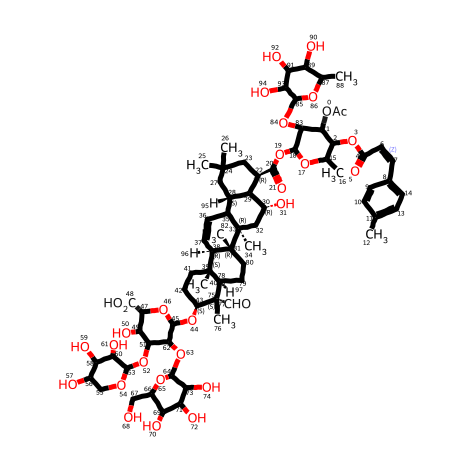 CC(=O)OC1C(OC(=O)/C=C\c2ccc(C)cc2)C(C)OC(OC(=O)[C@@H]2CC(C)(C)C[C@@H]3C2[C@H](O)C[C@]2(C)C3C=C[C@@H]3[C@@]4(C)CC[C@H](OC5OC(C(=O)O)C(O)C(OC6OCC(O)C(O)C6O)C5OC5OC(CO)C(O)C(O)C5O)[C@@](C)(C=O)[C@@H]4CC[C@]32C)C1OC1OC(C)C(O)C(O)C1O